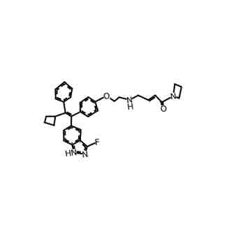 O=C(C=CCNCCOc1ccc(/C(=C(\c2ccccc2)C2CCC2)c2ccc3[nH]nc(F)c3c2)cc1)N1CCC1